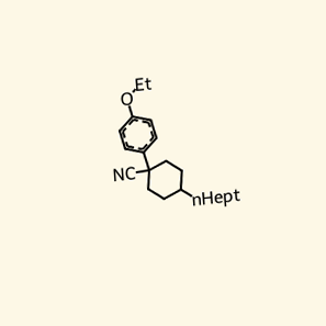 CCCCCCCC1CCC(C#N)(c2ccc(OCC)cc2)CC1